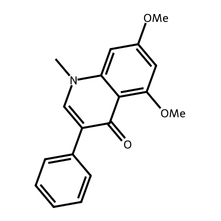 COc1cc(OC)c2c(=O)c(-c3ccccc3)cn(C)c2c1